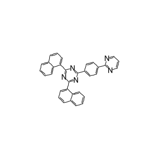 c1cnc(-c2ccc(-c3nc(-c4cccc5ccccc45)nc(-c4cccc5ccccc45)n3)cc2)nc1